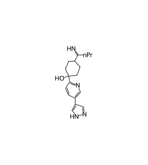 C[CH]CC(=N)C1CCC(O)(c2ccc(-c3cn[nH]c3)cn2)CC1